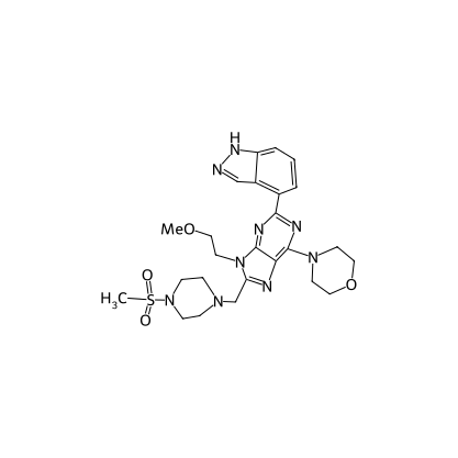 COCCn1c(CN2CCN(S(C)(=O)=O)CC2)nc2c(N3CCOCC3)nc(-c3cccc4[nH]ncc34)nc21